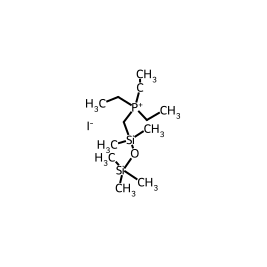 CC[P+](CC)(CC)C[Si](C)(C)O[Si](C)(C)C.[I-]